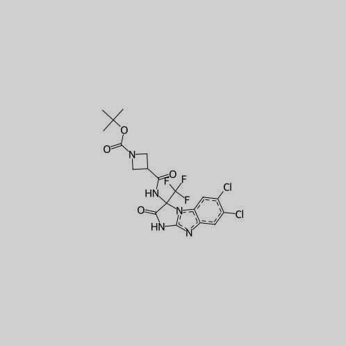 CC(C)(C)OC(=O)N1CC(C(=O)NC2(C(F)(F)F)C(=O)Nc3nc4cc(Cl)c(Cl)cc4n32)C1